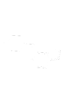 O=C(O)c1csc2c(NN3CCOCC3)ncnc12